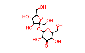 O=C1[C@@H](O)[C@@H](O[C@]2(CO)O[C@H](CO)[C@@H](O)[C@@H]2O)O[C@H](CO)[C@H]1O